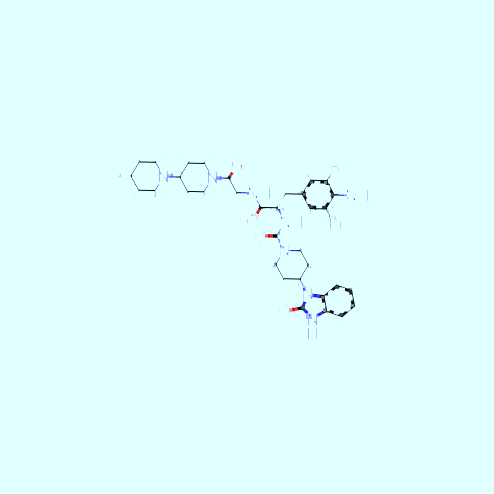 Nc1c(Br)cc(C[C@@H](NC(=O)N2CCC(n3c(=O)[nH]c4ccccc43)CC2)C(=O)NCC(=O)N2CCC(N3CCCCC3)CC2)cc1Br